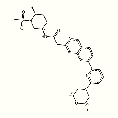 C[C@@H]1CN(c2cccc(-c3ccc4cnc(CC(=O)N[C@@H]5CC[C@H](C)N(S(C)(=O)=O)C5)cc4c3)n2)C[C@H](C)O1